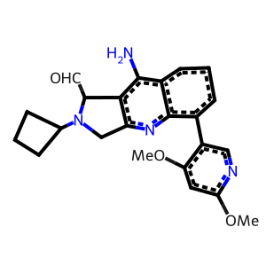 COc1cc(OC)c(-c2cccc3c(N)c4c(nc23)CN(C2CCC2)C4C=O)cn1